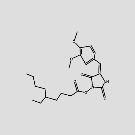 CCCCC(CC)CCCC(=O)ON1C(=O)N/C(=C/c2ccc(OC)c(OC)c2)C1=O